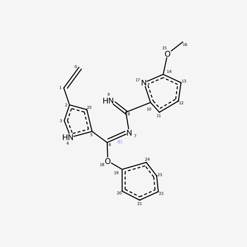 C=Cc1c[nH]c(/C(=N\C(=N)c2cccc(OC)n2)Oc2ccccc2)c1